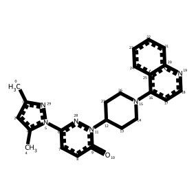 Cc1cc(C)n(-c2ccc(=O)n(C3CCN(c4ccnc5ccccc45)CC3)n2)n1